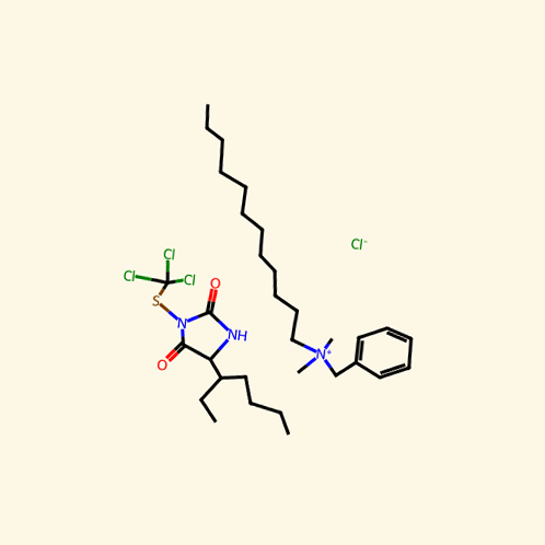 CCCCC(CC)C1NC(=O)N(SC(Cl)(Cl)Cl)C1=O.CCCCCCCCCCCC[N+](C)(C)Cc1ccccc1.[Cl-]